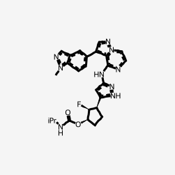 CC(C)NC(=O)O[C@@H]1CC[C@H](c2cc(Nc3nccn4ncc(-c5ccc6c(cnn6C)c5)c34)n[nH]2)[C@@H]1F